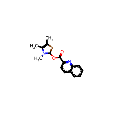 CC1=C(C)N(C)C(OC(=O)c2ccc3ccccc3n2)S1